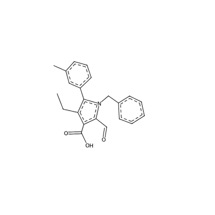 CCc1c(C(=O)O)c(C=O)n(Cc2ccccc2)c1-c1cccc(C)c1